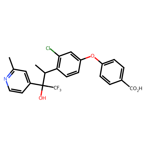 Cc1cc(C(O)(C(C)c2ccc(Oc3ccc(C(=O)O)cc3)cc2Cl)C(F)(F)F)ccn1